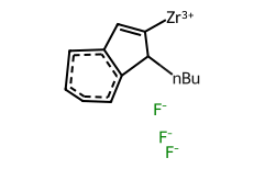 CCCCC1[C]([Zr+3])=Cc2ccccc21.[F-].[F-].[F-]